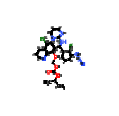 CC(C)OC(=O)OCOc1c(C(Nc2ncccn2)c2cccc(N=[N+]=[N-])c2Cl)cc(Cl)c2cccnc12